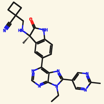 CCn1c(-c2cnc(C)nc2)nc2c(-c3ccc4c(c3)[C@@](C)(NCC3(C#N)CCC3)C(=O)N4)ncnc21